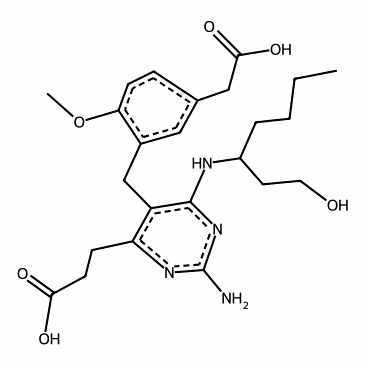 CCCCC(CCO)Nc1nc(N)nc(CCC(=O)O)c1Cc1cc(CC(=O)O)ccc1OC